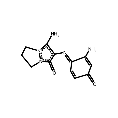 NC1=CC(=O)C=CC1=Nc1c(N)n2n(c1=O)CCC2